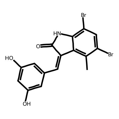 Cc1c(Br)cc(Br)c2c1C(=Cc1cc(O)cc(O)c1)C(=O)N2